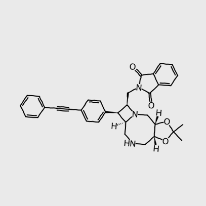 CC1(C)O[C@H]2CN3[C@H](CN4C(=O)c5ccccc5C4=O)[C@H](c4ccc(C#Cc5ccccc5)cc4)[C@@H]3CNC[C@H]2O1